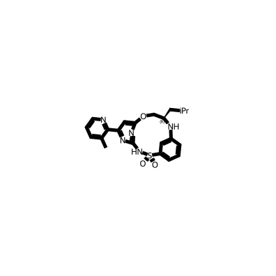 Cc1cccnc1-c1cc2nc(n1)NS(=O)(=O)c1cccc(c1)N[C@H](CC(C)C)CO2